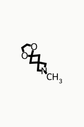 CN1CC2(C1)CC1(C2)OCCO1